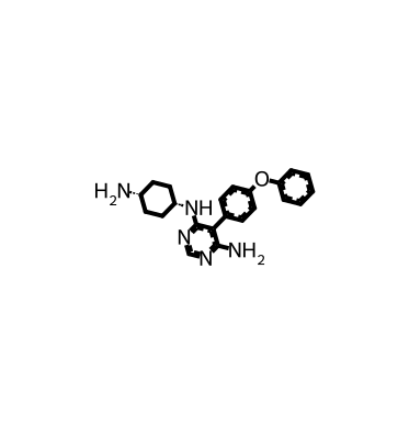 Nc1ncnc(N[C@H]2CC[C@@H](N)CC2)c1-c1ccc(Oc2ccccc2)cc1